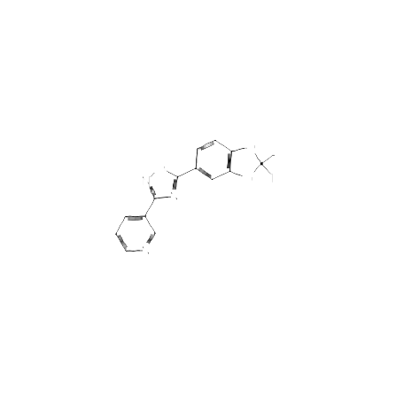 FC1(F)Oc2ccc(-c3nc(-c4cccnc4)no3)cc2O1